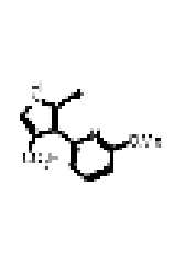 COc1cccc(-c2c(C(=O)O)c[nH]c2C(C)C)n1